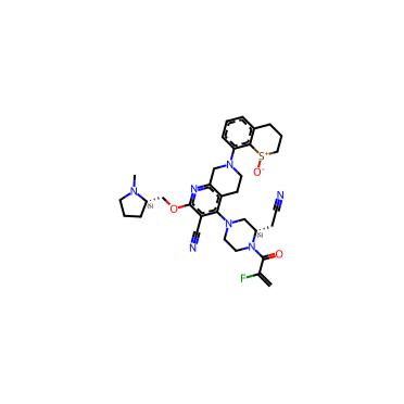 C=C(F)C(=O)N1CCN(c2c(C#N)c(OC[C@@H]3CCCN3C)nc3c2CCN(c2cccc4c2[S+]([O-])CCC4)C3)C[C@@H]1CC#N